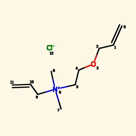 C=CCOCC[N+](C)(C)CC=C.[Cl-]